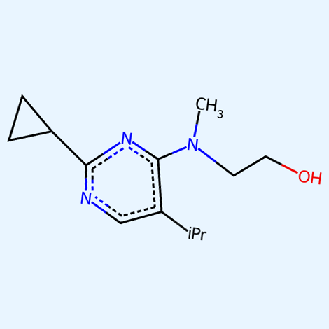 CC(C)c1cnc(C2CC2)nc1N(C)CCO